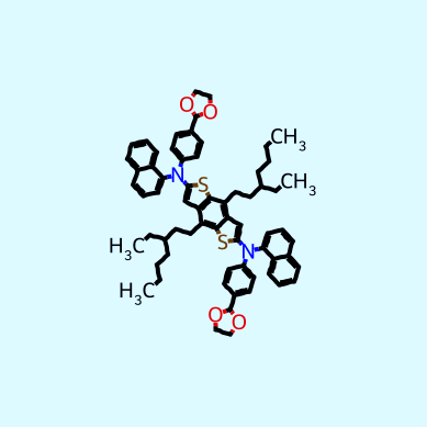 CCCCC(CC)CCc1c2cc(N(c3ccc(C4OCCO4)cc3)c3cccc4ccccc34)sc2c(CCC(CC)CCCC)c2cc(N(c3ccc(C4OCCO4)cc3)c3cccc4ccccc34)sc12